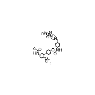 CCCS(=O)(=O)N1CCN(Cc2ccc(NC(=O)Oc3ccc(-c4cc(NC(=O)C5CC5)ccc4OC(F)(F)F)cc3)cc2)CC1